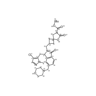 Cn1ncc(Cl)c1CC1c2cc(CN3CCOCC3)ccc2C(=O)N1CC1CC2(C1)CN(C(=O)OC(C)(C)C)C(=O)O2